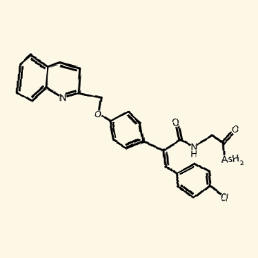 O=C([AsH2])CNC(=O)C(=Cc1ccc(Cl)cc1)c1ccc(OCc2ccc3ccccc3n2)cc1